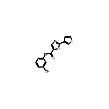 O=C(Nc1cccc(O)c1)c1cnc(-c2ccsc2)o1